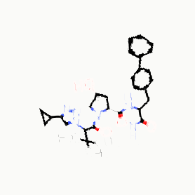 CC(C)(C)C(C(=O)N1C[C@H](O)C[C@H]1C(=O)NC(Cc1ccc(-c2ccccc2)cc1)C(N)=O)n1cc(C2CC2)nn1